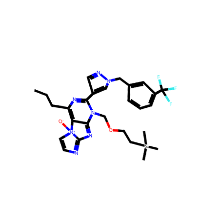 CCCC1=C2C(=NC3=NC=C[N+]32[O-])N(COCC[Si](C)(C)C)C(c2cnn(Cc3cccc(C(F)(F)F)c3)c2)=N1